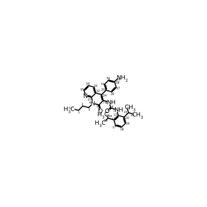 CCCCn1c(=O)c(NC(=O)Nc2c(C(C)C)cccc2C(C)C)c(-c2ccc(N)cc2)c2cccnc21